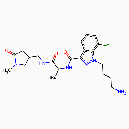 CN1CC(CNC(=O)C(NC(=O)c2nn(CCCCN)c3c(F)cccc23)C(C)(C)C)CC1=O